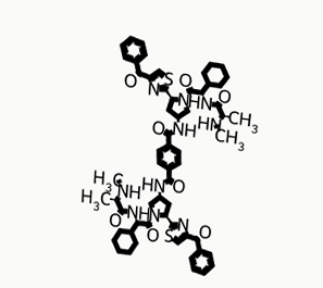 CN[C@@H](C)C(=O)N[C@H](C(=O)N1C[C@@H](NC(=O)c2ccc(C(=O)N[C@H]3C[C@@H](c4nc(C(=O)c5ccccc5)cs4)N(C(=O)[C@@H](NC(=O)[C@H](C)NC)C4CCCCC4)C3)cc2)C[C@H]1c1nc(C(=O)c2ccccc2)cs1)C1CCCCC1